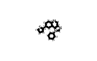 [c]1ccc(-n2cnc3cnc4ccc(-c5cccs5)cc4c32)cc1